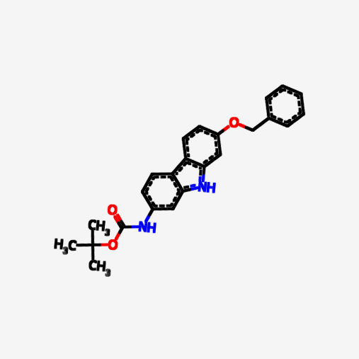 CC(C)(C)OC(=O)Nc1ccc2c(c1)[nH]c1cc(OCc3ccccc3)ccc12